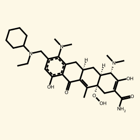 CCN(Cc1cc(O)c2c(c1N(C)C)C[C@H]1C[C@H]3[C@H](N(C)C)C(O)=C(C(N)=O)C[C@@]3(OO)C(C)=C1C2=O)C1CCCCC1